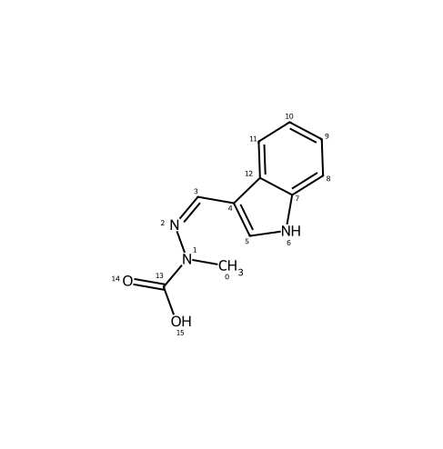 CN(/N=C\c1c[nH]c2ccccc12)C(=O)O